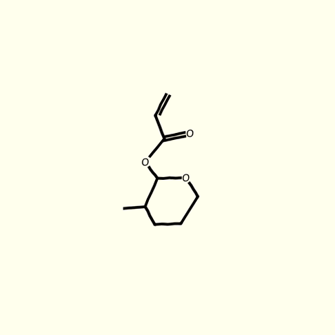 C=CC(=O)OC1OCCCC1C